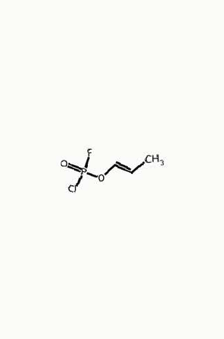 CC=COP(=O)(F)Cl